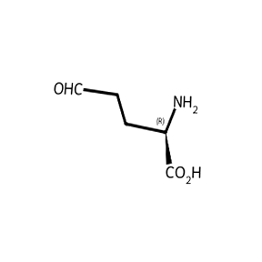 N[C@H](CCC=O)C(=O)O